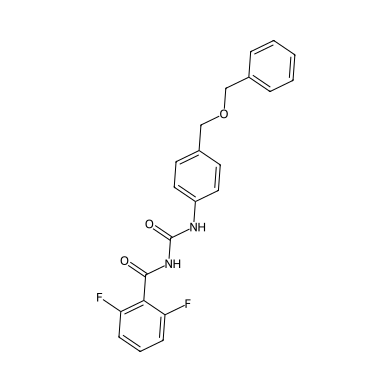 O=C(NC(=O)c1c(F)cccc1F)Nc1ccc(COCc2ccccc2)cc1